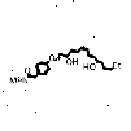 CC/C=C\C[C@H](O)/C=C/C=C\C=C\[C@@H](O)CCOc1ccc(CC(=O)NC)cc1